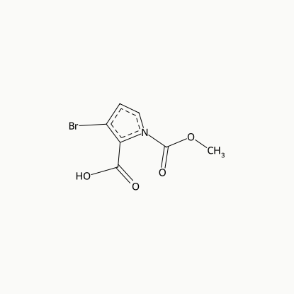 COC(=O)n1ccc(Br)c1C(=O)O